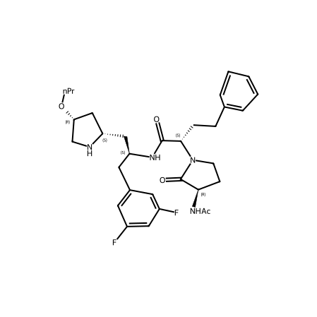 CCCO[C@H]1CN[C@@H](C[C@H](Cc2cc(F)cc(F)c2)NC(=O)[C@H](CCc2ccccc2)N2CC[C@@H](NC(C)=O)C2=O)C1